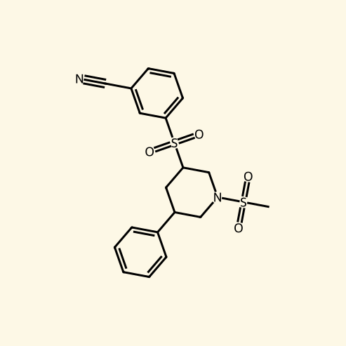 CS(=O)(=O)N1CC(c2ccccc2)CC(S(=O)(=O)c2cccc(C#N)c2)C1